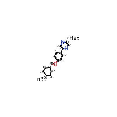 CCCCCCc1cnc(-c2ccc(OC[C@H]3CC[C@H](CCCC)CC3)cc2)cn1